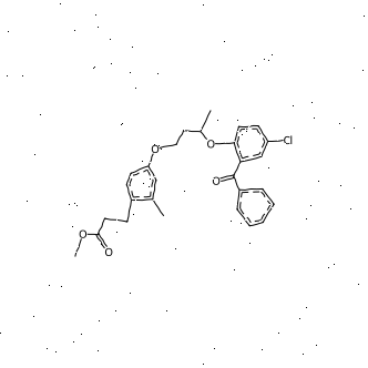 COC(=O)CCc1ccc(OCCC(C)Oc2ccc(Cl)cc2C(=O)c2ccccc2)cc1C